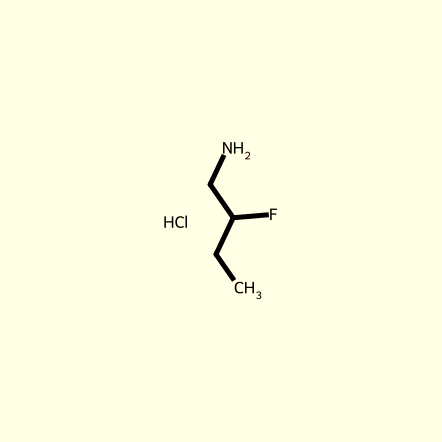 CCC(F)CN.Cl